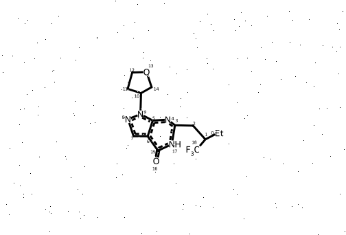 CCC(Cc1nc2c(cnn2C2CCOC2)c(=O)[nH]1)C(F)(F)F